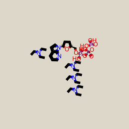 CCN(CC)CC.CCN(CC)CC.CCN(CC)CC.CCN(CC)CC.O=P(O)(O)OP(=O)(O)OP(=O)(O)OC[C@@H]1CC[C@@H](n2ccc3cccnc32)O1